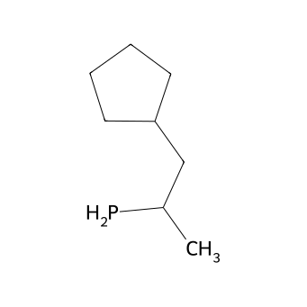 CC(P)CC1CCCC1